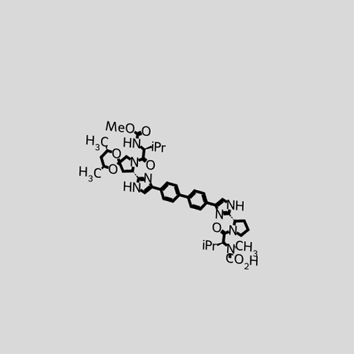 COC(=O)N[C@H](C(=O)N1CC2(C[C@H]1c1nc(-c3ccc(-c4ccc(-c5c[nH]c([C@@H]6CCCN6C(=O)[C@H](C(C)C)N(C)C(=O)O)n5)cc4)cc3)c[nH]1)O[C@@H](C)C[C@H](C)O2)C(C)C